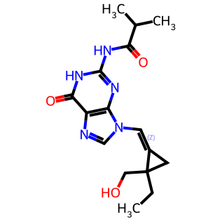 CCC1(CO)C/C1=C/n1cnc2c(=O)[nH]c(NC(=O)C(C)C)nc21